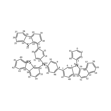 c1ccc(-n2c3cc(-c4ccc(N(c5ccc(-c6cccc7c6sc6ccccc67)cc5)c5cccc6c5sc5ccccc56)cc4)ccc3c3ccc4ccccc4c32)cc1